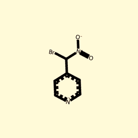 O=[N+]([O-])C(Br)c1ccncc1